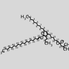 CCCCCCCCCCCC=C(CCCCCOC(=O)CC(C)C)C(CCC)C(=O)OC=CCCCCCCCCCCCCCCCC